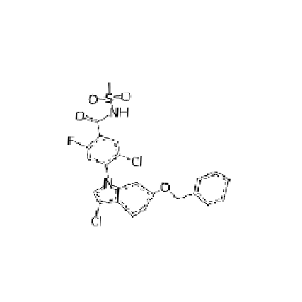 CS(=O)(=O)NC(=O)c1cc(Cl)c(-n2cc(Cl)c3ccc(OCc4ccccc4)cc32)cc1F